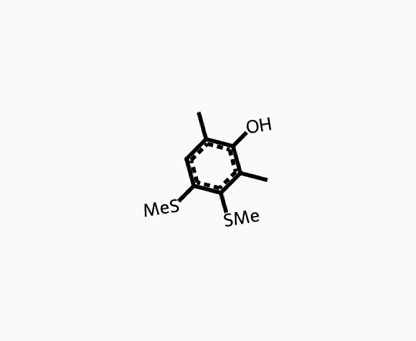 CSc1cc(C)c(O)c(C)c1SC